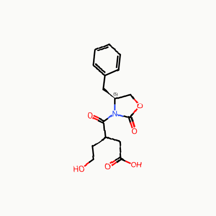 O=C(O)CC(CCO)C(=O)N1C(=O)OC[C@@H]1Cc1ccccc1